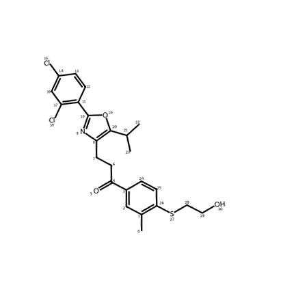 Cc1cc(C(=O)CCc2nc(-c3ccc(Cl)cc3Cl)oc2C(C)C)ccc1SCCO